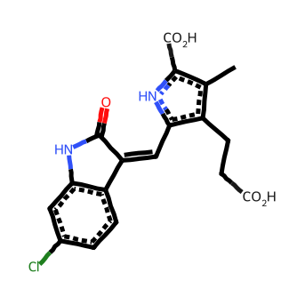 Cc1c(C(=O)O)[nH]c(C=C2C(=O)Nc3cc(Cl)ccc32)c1CCC(=O)O